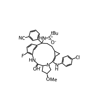 CO[C@H]1C[C@H]2C(=O)Nc3cc(ccc3F)C(N[S@+]([O-])C(C)(C)C)(c3cccc(C#N)c3)CCC3C/C3=C(\Nc3ccc(Cl)cc3)N2C1